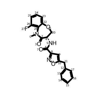 CN1C(=O)[C@@H](NC(=O)c2cc(Cc3ccccc3)on2)COc2cccc(F)c21